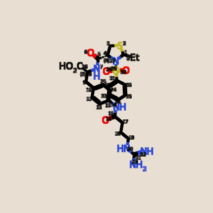 CCC1SC[C@@H](C(=O)N[C@@H](Cc2ccc(NC(=O)CCCNC(=N)N)cc2)C(=O)O)N1S(=O)(=O)c1ccccc1